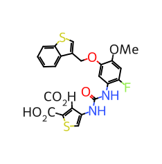 COc1cc(F)c(NC(=O)Nc2csc(C(=O)O)c2C(=O)O)cc1OCc1csc2ccccc12